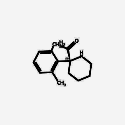 Cc1cccc(C)c1[C@@]1(C(N)=O)CCCCN1